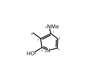 CNc1ccnc(O)c1C